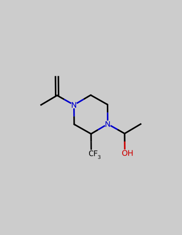 C=C(C)N1CCN(C(C)O)C(C(F)(F)F)C1